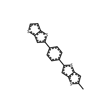 Cc1cc2sc(-c3ccc(-c4cc5sccc5s4)cc3)cc2s1